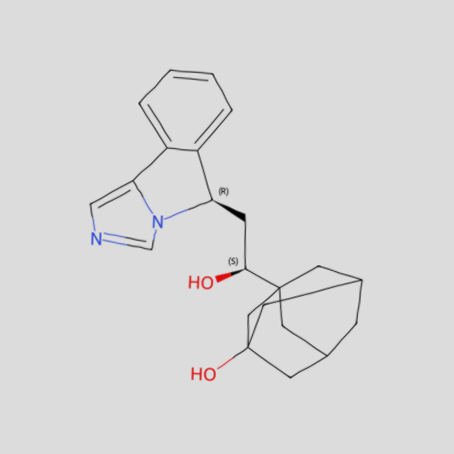 O[C@@H](C[C@@H]1c2ccccc2-c2cncn21)C12CC3CC(CC(O)(C3)C1)C2